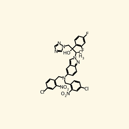 C[C@@H](n1cc2cc(N(Cc3ccc(Cl)cc3[N+](=O)[O-])Cc3ccc(Cl)cc3[N+](=O)[O-])ccc2n1)[C@](O)(Cn1cncn1)c1ccc(F)cc1F